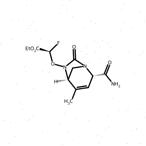 CCOC(=O)[C@@H](F)ON1C(=O)N2C[C@H]1C(C)=C[C@H]2C(N)=O